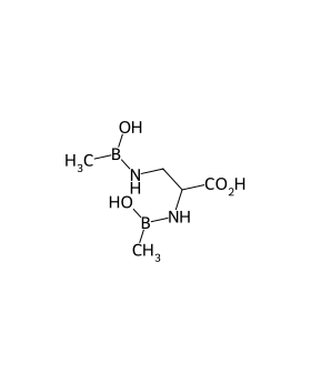 CB(O)NCC(NB(C)O)C(=O)O